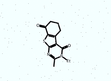 CCn1c(C)nc2sc3c(c2c1=O)CCCC3=O